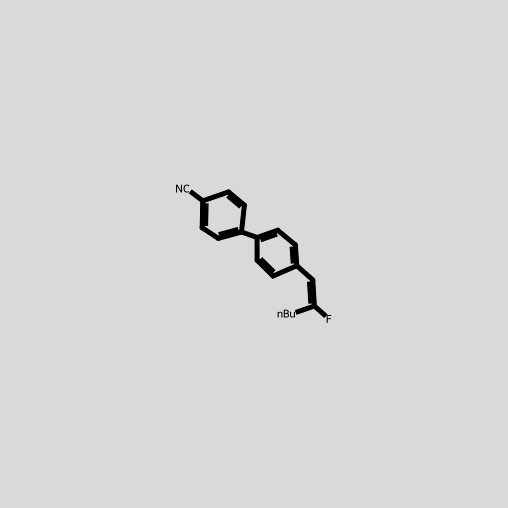 CCCC/C(F)=C\c1ccc(-c2ccc(C#N)cc2)cc1